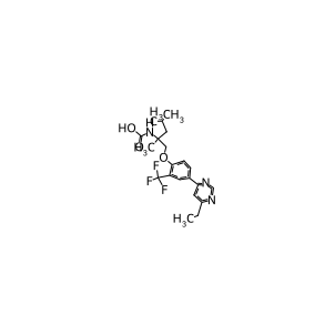 CCc1cc(-c2ccc(OCC(C)(CC(C)C)NC(=O)O)c(C(F)(F)F)c2)ncn1